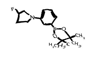 CC1(C)OB(c2cccc(N3CCC(F)C3)c2)OC1(C)C